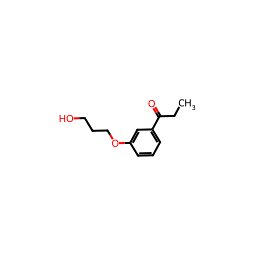 CCC(=O)c1cccc(OCCCO)c1